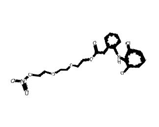 O=C(Cc1ccccc1Nc1c(Cl)cccc1Cl)OCCOCCOCCO[N+](=O)[O-]